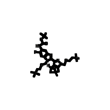 CC(C)(C)OC(=O)Nc1cc2nc(-c3nn(COCC[Si](C)(C)C)c4c3[C@H]3C[C@@](C)(C4)C3)n(COCC[Si](C)(C)C)c2cc1F